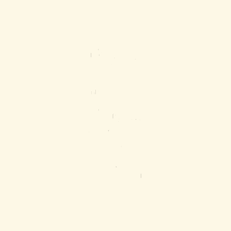 CCCOP(=O)(c1cccc(C)c1)c1cccc(C)c1